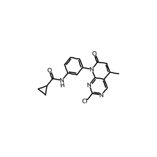 Cc1cc(=O)n(-c2cccc(NC(=O)C3CC3)c2)c2nc(Cl)ncc12